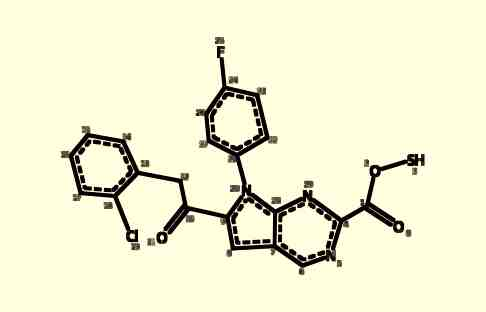 O=C(OS)c1ncc2cc(C(=O)Cc3ccccc3Cl)n(-c3ccc(F)cc3)c2n1